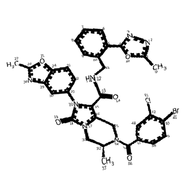 Cc1nnc(-c2ccccc2CNC(=O)c2c3n(c(=O)n2-c2ccc4oc(C)nc4c2)C[C@H](C)N(C(=O)c2ccc(Br)c(Cl)c2)C3)o1